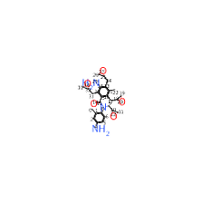 Cc1cc(N)ccc1N(CC1CO1)C(=O)c1c(CC2CO2)c(C)c(CC2CO2)c(N)c1CC1CO1